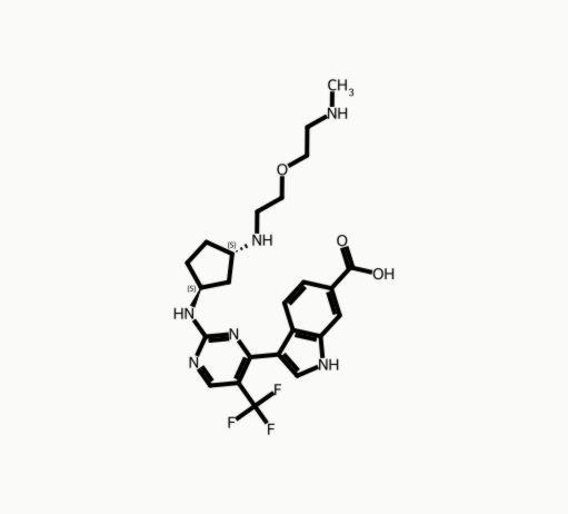 CNCCOCCN[C@H]1CC[C@H](Nc2ncc(C(F)(F)F)c(-c3c[nH]c4cc(C(=O)O)ccc34)n2)C1